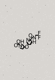 O=C(NCC(F)F)c1ccc(O[C@@H]2CCN(C(=O)O)C2)cn1